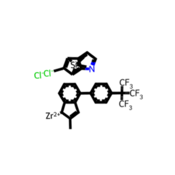 CC1=C2C3=CC=NC3=C1[Si]2(C)C.CC1=Cc2c(-c3ccc(C(C(F)(F)F)(C(F)(F)F)C(F)(F)F)cc3)cccc2[CH]1[Zr+2].[Cl-].[Cl-]